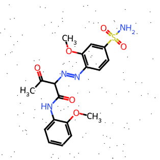 COc1cc(S(N)(=O)=O)ccc1N=NC(C(C)=O)C(=O)Nc1ccccc1OC